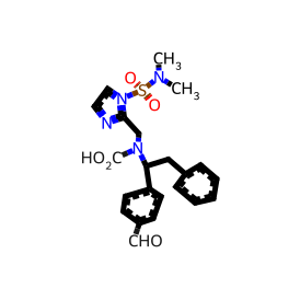 CN(C)S(=O)(=O)n1ccnc1CN(C(=O)O)C(Cc1ccccc1)c1ccc(C=O)cc1